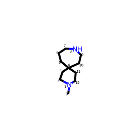 CN1CCC2(CCCNCC2)CC1